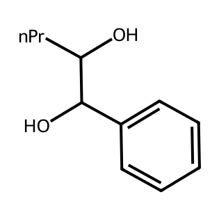 CCCC(O)C(O)c1ccccc1